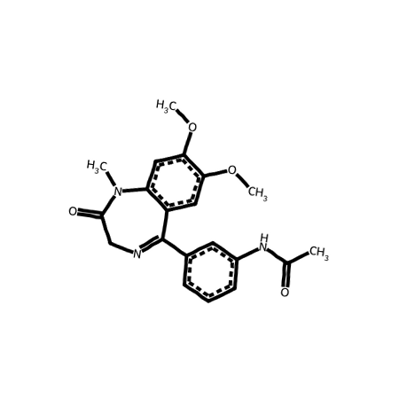 COc1cc2c(cc1OC)N(C)C(=O)CN=C2c1cccc(NC(C)=O)c1